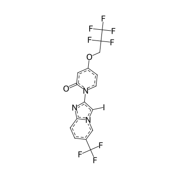 O=c1cc(OCC(F)(F)C(F)(F)F)ccn1-c1nc2ccc(C(F)(F)F)cn2c1I